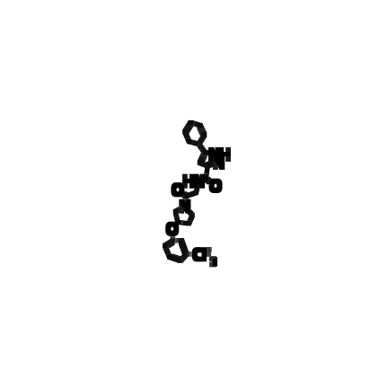 O=C(NCC(=O)N1CCC(Oc2cccc(C(F)(F)F)c2)C1)c1cc(C2C=CC=CC2)[nH]n1